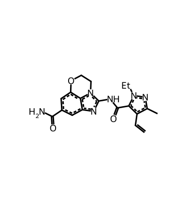 C=Cc1c(C)nn(CC)c1C(=O)Nc1nc2cc(C(N)=O)cc3c2n1CCO3